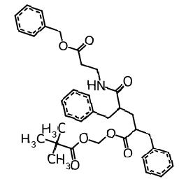 CC(C)(C)C(=O)OCOC(=O)C(Cc1ccccc1)CC(Cc1ccccc1)C(=O)NCCC(=O)OCc1ccccc1